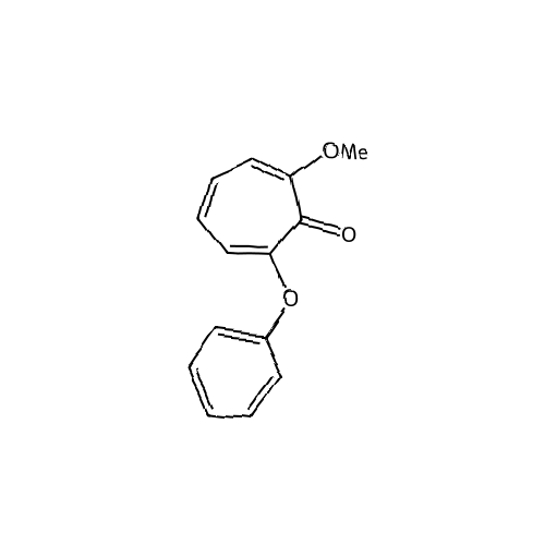 COc1ccccc(Oc2ccccc2)c1=O